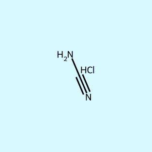 Cl.N#CN